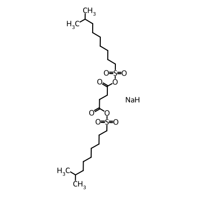 CC(C)CCCCCCCS(=O)(=O)OC(=O)CCC(=O)OS(=O)(=O)CCCCCCCC(C)C.[NaH]